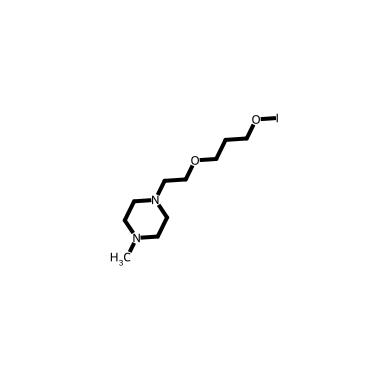 CN1CCN(CCOCCCOI)CC1